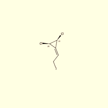 Cl[C@@H]1C(=CCI)[C@@H]1Cl